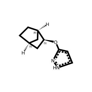 c1cc(O[C@H]2C[C@H]3CC[C@@H]2C3)n[nH]1